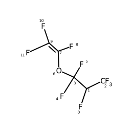 F[C](C(F)(F)F)C(F)(F)OC(F)=C(F)F